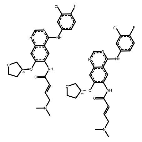 CN(C)CC=CC(=O)Nc1cc2c(Nc3ccc(F)c(Cl)c3)ncnc2cc1O[C@@H]1CCOC1.CN(C)CC=CC(=O)Nc1cc2c(Nc3ccc(F)c(Cl)c3)ncnc2cc1O[C@H]1CCOC1